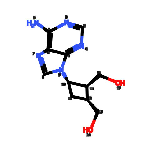 Nc1ncnc2c1ncn2[C@@H]1C[C@H](CO)[C@@H]1CO